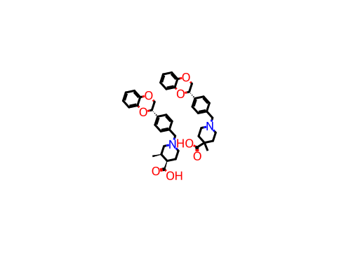 CC1(C(=O)O)CCN(Cc2ccc([C@H]3COc4ccccc4O3)cc2)CC1.C[C@H]1CN(Cc2ccc([C@H]3COc4ccccc4O3)cc2)CC[C@H]1C(=O)O